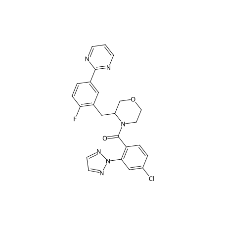 O=C(c1ccc(Cl)cc1-n1nccn1)N1CCOCC1Cc1cc(-c2ncccn2)ccc1F